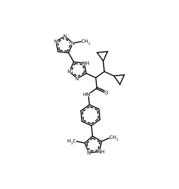 Cc1n[nH]c(C)c1-c1ccc(NC(=O)C(c2nnc(-c3cnnn3C)[nH]2)C(C2CC2)C2CC2)cc1